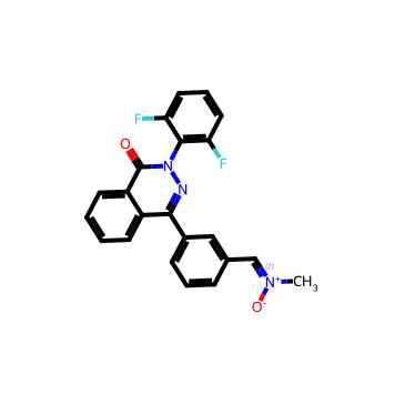 C/[N+]([O-])=C/c1cccc(-c2nn(-c3c(F)cccc3F)c(=O)c3ccccc23)c1